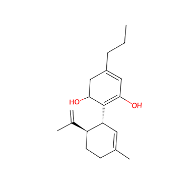 C=C(C)[C@@H]1CCC(C)=C[C@H]1C1=C(O)C=C(CCC)CC1O